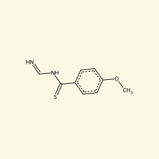 COc1ccc(C(=S)N[C]=N)cc1